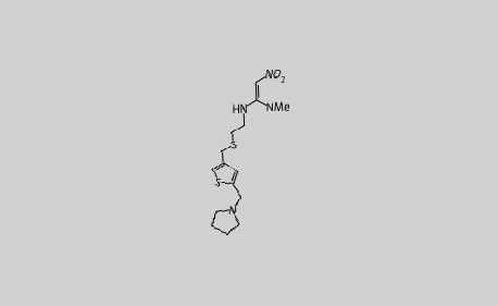 CN/C(=C\[N+](=O)[O-])NCCSCc1csc(CN2CCCC2)c1